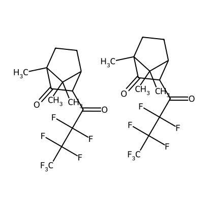 CC12CCC(C(C(=O)C(F)(F)C(F)(F)C(F)(F)F)C1=O)C2(C)C.CC12CCC(C(C(=O)C(F)(F)C(F)(F)C(F)(F)F)C1=O)C2(C)C